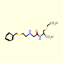 O=C(O)CSCC(NC(=O)CNCCSCc1ccccc1)C(=O)O